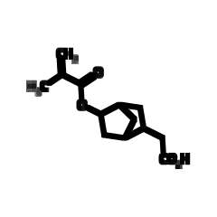 C=C(C)C(=O)OC1CC2CC1CC2CC(=O)O